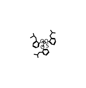 CC(C)Cc1ccccc1OP(=S)(Oc1ccccc1CC(C)C)Oc1ccccc1CC(C)C